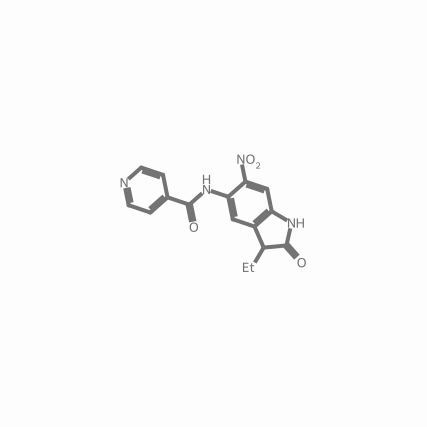 CCC1C(=O)Nc2cc([N+](=O)[O-])c(NC(=O)c3ccncc3)cc21